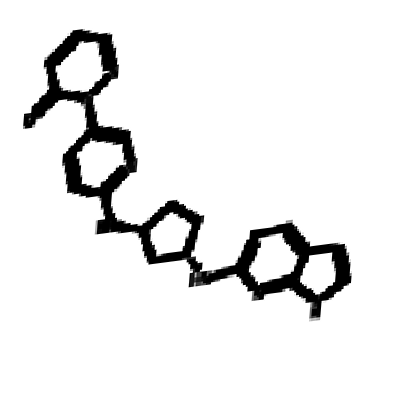 O=c1cccnn1-c1ccc(N[C@H]2CC[C@H](Nc3ncc4cc[nH]c4n3)C2)nc1